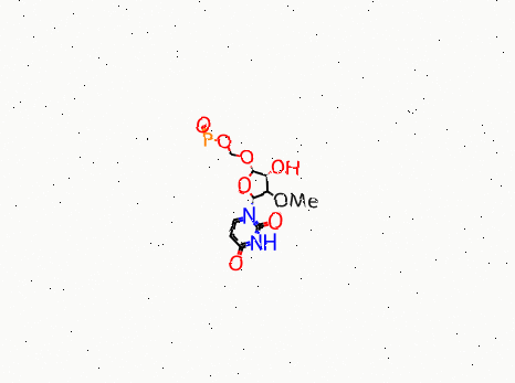 COC1[C@@H](O)[C@@H](OCOP=O)O[C@H]1n1ccc(=O)[nH]c1=O